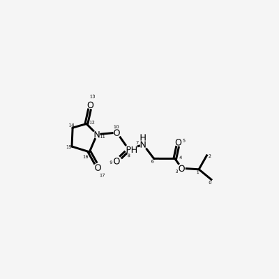 CC(C)OC(=O)CN[PH](=O)ON1C(=O)CCC1=O